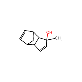 CC1(O)C=CC2C3C=CC(C3)C21